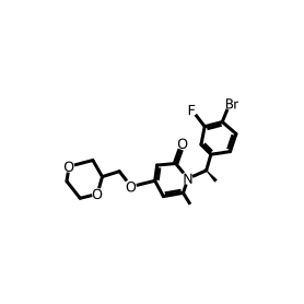 Cc1cc(OCC2COCCO2)cc(=O)n1[C@H](C)c1ccc(Br)c(F)c1